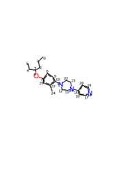 CCCC(CC)Oc1ccc(N2CCN(c3ccncc3)CC2)c(C)c1